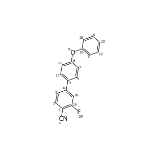 N#Cc1ccc(-c2ccc(Oc3ccccc3)cc2)cc1F